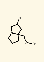 CC(C)OCC12CCCN1CC(O)C2